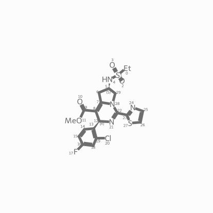 CCS(=O)(=O)N[C@H]1CC2=C(C(=O)OC)[C@H](c3ccc(F)cc3Cl)N=C(c3nccs3)N2C1